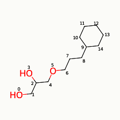 OCC(O)COCCCC1CCCCC1